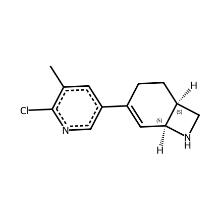 Cc1cc(C2=C[C@@H]3NC[C@@H]3CC2)cnc1Cl